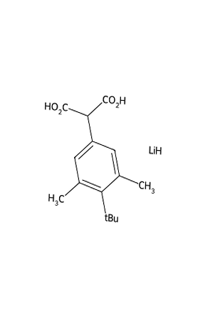 Cc1cc(C(C(=O)O)C(=O)O)cc(C)c1C(C)(C)C.[LiH]